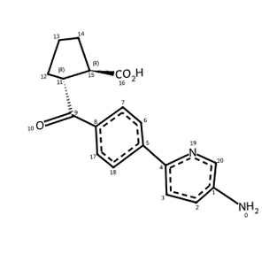 Nc1ccc(-c2ccc(C(=O)[C@@H]3CCC[C@H]3C(=O)O)cc2)nc1